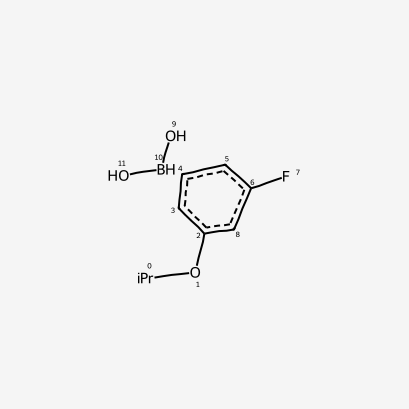 CC(C)Oc1cccc(F)c1.OBO